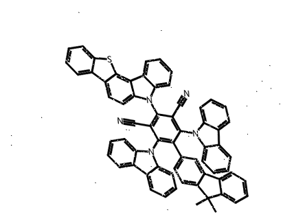 CC1(C)c2ccccc2-c2cc(-c3c(-n4c5ccccc5c5ccccc54)c(C#N)c(-n4c5ccccc5c5c6sc7ccccc7c6ccc54)c(C#N)c3-n3c4ccccc4c4ccccc43)ccc21